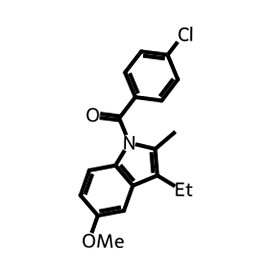 [CH2]Cc1c(C)n(C(=O)c2ccc(Cl)cc2)c2ccc(OC)cc12